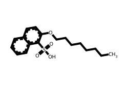 CCCCCCCCOc1ccc2ccccc2c1S(=O)(=O)O